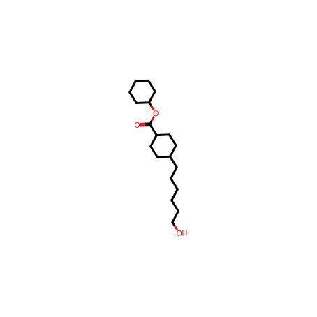 O=C(OC1CCCCC1)C1CCC(CCCCCCO)CC1